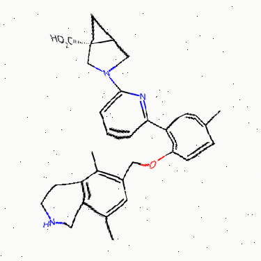 Cc1ccc(OCc2cc(C)c3c(c2C)CCNC3)c(-c2cccc(N3CC4C[C@]4(C(=O)O)C3)n2)c1